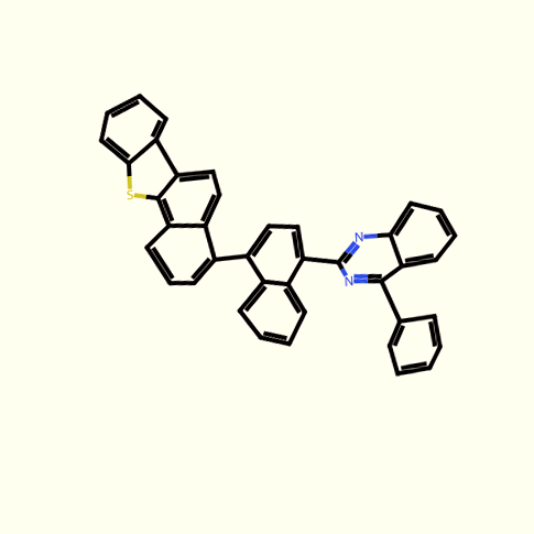 c1ccc(-c2nc(-c3ccc(-c4cccc5c4ccc4c6ccccc6sc54)c4ccccc34)nc3ccccc23)cc1